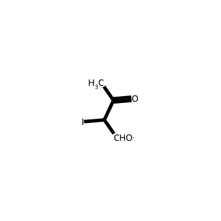 CC(=O)C(I)[C]=O